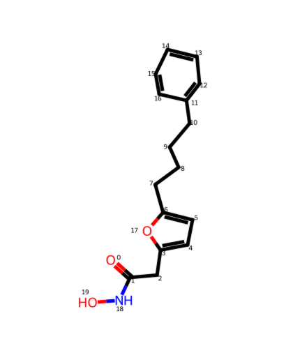 O=C(Cc1ccc(CCCCc2ccccc2)o1)NO